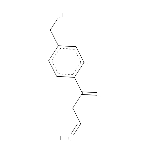 C=CCC(=O)c1ccc(CS)cc1